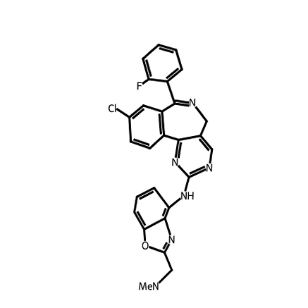 CNCc1nc2c(Nc3ncc4c(n3)-c3ccc(Cl)cc3C(c3ccccc3F)=NC4)cccc2o1